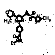 CCNC(=O)Nc1ccc(-c2nc(C3CC3S(=O)(=O)c3nc(C)cs3)cc(N3CCOC[C@@H]3C)n2)cc1